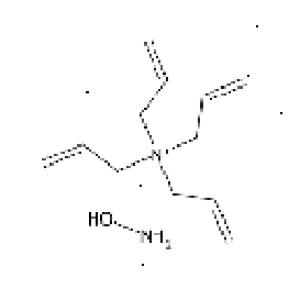 C=CC[N+](CC=C)(CC=C)CC=C.NO